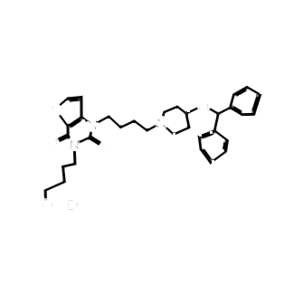 CCOC(=O)CCCCn1c(=O)c2sccc2n(CCCCN2CCC(OC(c3ccccc3)c3ccccc3)CC2)c1=O